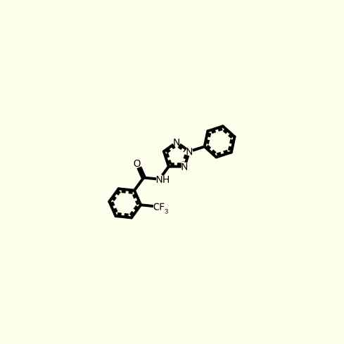 O=C(Nc1cnn(-c2ccccc2)n1)c1ccccc1C(F)(F)F